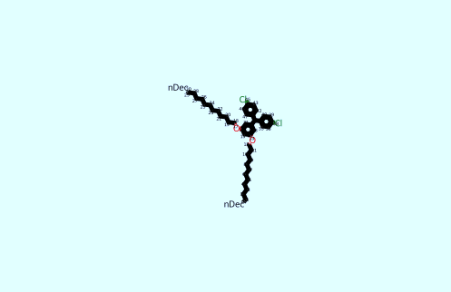 CCCCCCCCCCCCCCCCCCCCCCOc1cc(OCCCCCCCCCCCCCCCCCCCCCC)cc([C](c2ccc(Cl)cc2)c2ccc(Cl)cc2)c1